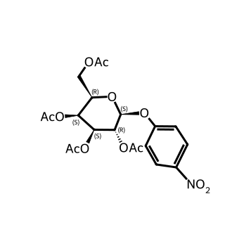 CC(=O)OC[C@H]1O[C@@H](Oc2ccc([N+](=O)[O-])cc2)[C@H](OC(C)=O)[C@@H](OC(C)=O)[C@H]1OC(C)=O